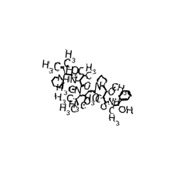 CC[C@H](C)[C@@H]([C@@H](CC(=O)N1CCC[C@H]1[C@H](OC)[C@@H](C)C(=O)N[C@H](C)[C@@H](O)c1ccccc1)OC)N(C)C(=O)[C@@H](NC(=O)[C@H](C(C)C)N1CCCCC1)C(C)C